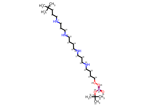 CC(C)(C)CCCNCCCNCCCCNCCCNCCCCOO[PH](=O)OC(C)(C)C